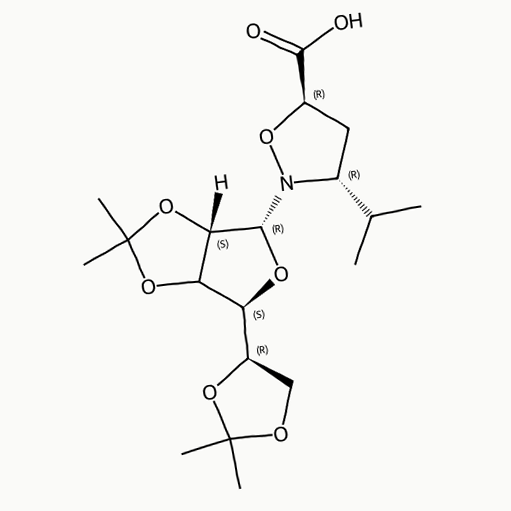 CC(C)[C@H]1C[C@H](C(=O)O)ON1[C@@H]1O[C@@H]([C@H]2COC(C)(C)O2)C2OC(C)(C)O[C@@H]21